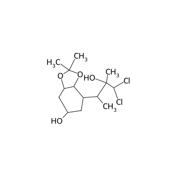 CC(C1CC(O)CC2OC(C)(C)OC21)C(C)(O)C(Cl)Cl